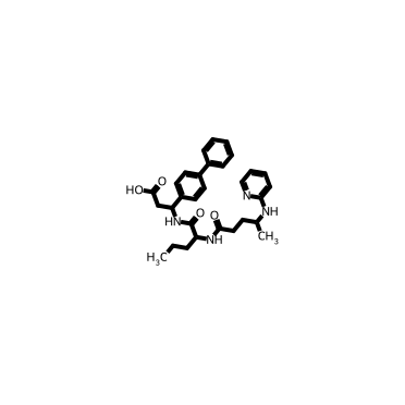 CCCC(NC(=O)CCC(C)Nc1ccccn1)C(=O)NC(CC(=O)O)c1ccc(-c2ccccc2)cc1